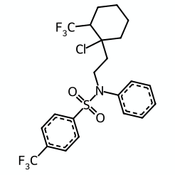 O=S(=O)(c1ccc(C(F)(F)F)cc1)N(CCC1(Cl)CCCCC1C(F)(F)F)c1ccccc1